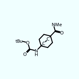 CNC(=O)C12CCC(NC(=O)OC(C)(C)C)(CC1)CC2